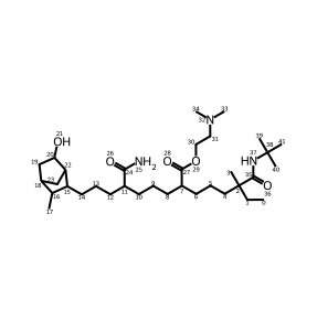 CCC(C)(CCCC(CCCC(CCCC1C(C)C2CC(O)C1C2)C(N)=O)C(=O)OCCN(C)C)C(=O)NC(C)(C)C